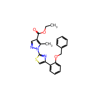 CCOC(=O)c1cnn(-c2nc(-c3ccccc3OCc3ccccc3)cs2)c1C